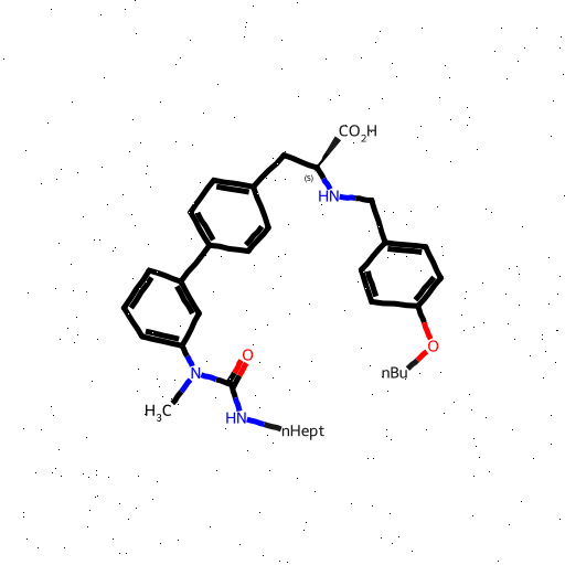 CCCCCCCNC(=O)N(C)c1cccc(-c2ccc(C[C@H](NCc3ccc(OCCCC)cc3)C(=O)O)cc2)c1